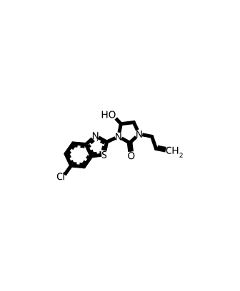 C=CCN1CC(O)N(c2nc3ccc(Cl)cc3s2)C1=O